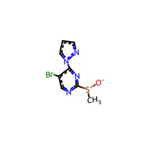 C[S+]([O-])c1ncc(Br)c(-n2cccn2)n1